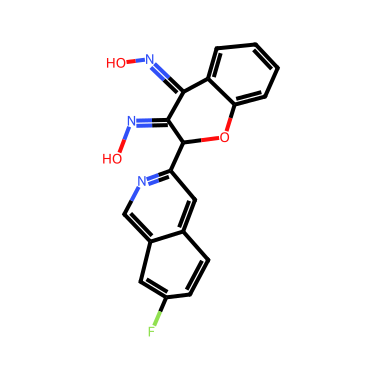 ON=C1C(=NO)C(c2cc3ccc(F)cc3cn2)Oc2ccccc21